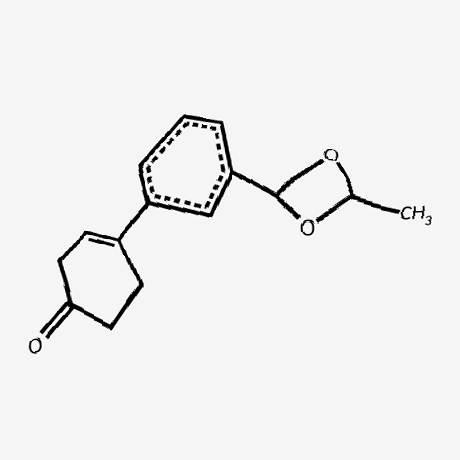 CC1OC(c2cccc(C3=CCC(=O)CC3)c2)O1